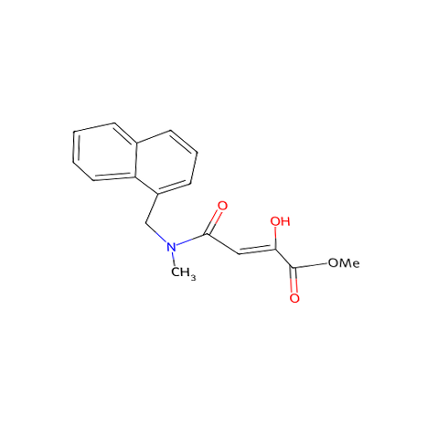 COC(=O)C(O)=CC(=O)N(C)Cc1cccc2ccccc12